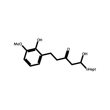 CCCCCCCC(O)CC(=O)CCc1cccc(OC)c1O